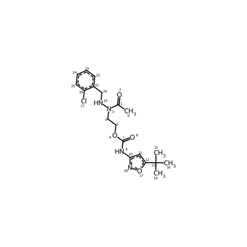 CC(=O)N(CCOC(=O)Nc1cc(C(C)(C)C)on1)NCc1ccccc1Cl